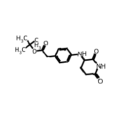 CC(C)(C)OC(=O)Cc1ccc(NC2CCC(=O)NC2=O)cc1